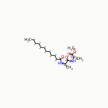 CCCCCCCCCCCC(=O)N[C@@H](C)C(=O)N[C@@H](C)C(=O)OC